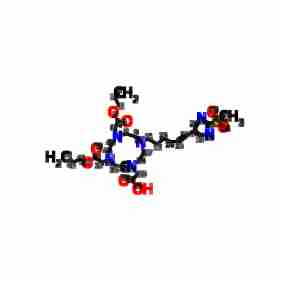 C=CCOC(=O)CN1CCN(CCCCC#Cc2cnc(S(C)(=O)=O)nc2)CCN(CC(=O)O)CCN(CC(=O)OCC=C)CC1